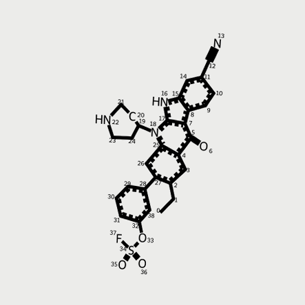 CCc1cc2c(=O)c3c4ccc(C#N)cc4[nH]c3n(C3CCNCC3)c2cc1-c1cccc(OS(=O)(=O)F)c1